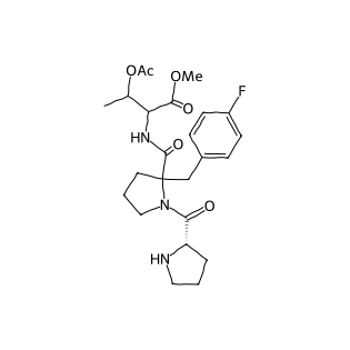 COC(=O)C(NC(=O)C1(Cc2ccc(F)cc2)CCCN1C(=O)[C@@H]1CCCN1)C(C)OC(C)=O